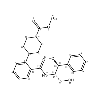 CC(C)(C)OC(=O)N1CCC(c2ccccc2C(=O)N[C@@H](CO)[C@@H](O)c2ccccc2)CC1